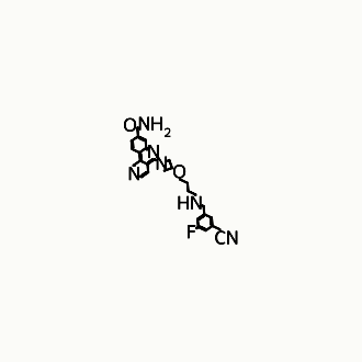 N#CCc1cc(F)cc(CNCCCCOC2CN(c3nc4cc(C(N)=O)ccc4c4cnccc34)C2)c1